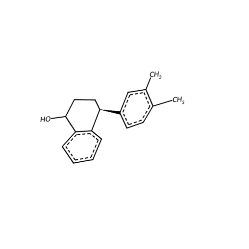 Cc1ccc([C@@H]2CCC(O)c3ccccc32)cc1C